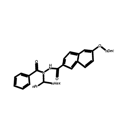 CCCCCCCCCCOc1ccc2cc(C(=O)NN(C(=O)c3ccccc3)C(CCC)CCCCCC)ccc2c1